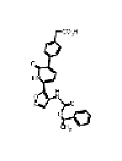 CC(OC(=O)Nc1cnoc1-c1ccc(-c2ccc(CC(=O)O)cc2)c(=O)[nH]1)c1ccccc1